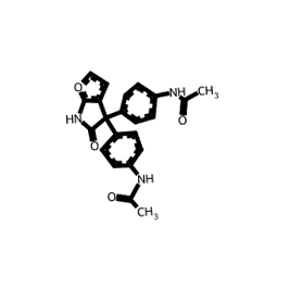 CC(=O)Nc1ccc(C2(c3ccc(NC(C)=O)cc3)C(=O)Nc3occc32)cc1